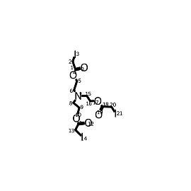 O=C(CI)OCCN(CCOC(=O)CI)CCOC(=O)CI